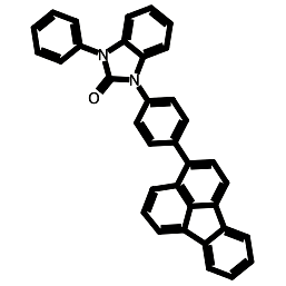 O=c1n(-c2ccccc2)c2ccccc2n1-c1ccc(-c2ccc3c4c(cccc24)-c2ccccc2-3)cc1